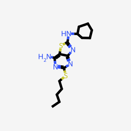 CCCCCSc1nc(N)c2sc(NC3CCCCC3)nc2n1